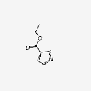 CCOC(=O)C1=CC=N[C]1